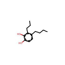 CCCCc1ccc(O)c(O)c1CCC